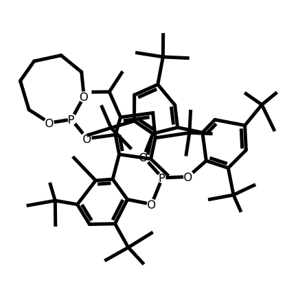 Cc1c(C(C)(C)C)cc(C(C)C)c(OP2OCCCCCO2)c1-c1c(C)c(C(C)(C)C)cc(C(C)(C)C)c1Op1oc2c(C(C)(C)C)cc(C(C)(C)C)cc2c2cc(C(C)(C)C)cc(C(C)(C)C)c2o1